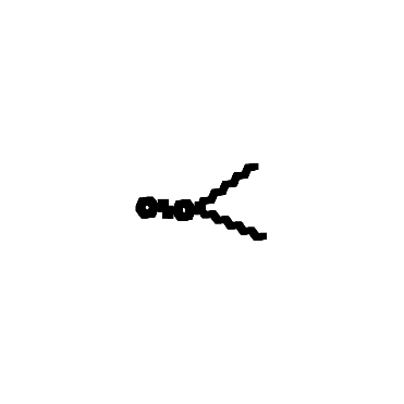 CCCCCCCCCCN(CCCCCCCCCC)c1ccc(N=Nc2ccccc2)cc1